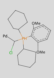 COc1cccc(OC)c1[PH]([CH](Cl)[Pd])(C1CCCCC1)C1CCCCC1